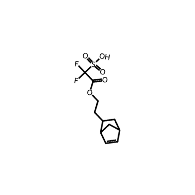 O=C(OCCC1CC2C=CC1C2)C(F)(F)S(=O)(=O)O